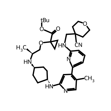 Cc1cnc(N[C@H]2CC[C@H](N[C@@H](C)COC3(C(=O)OC(C)(C)C)CC3)CC2)cc1-c1cccc(NCC2(C#N)CCOCC2)n1